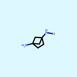 CCNC12CCC(N)(C1)C2